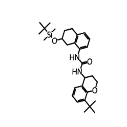 CC(C)(C)c1cccc2c1OCCC2NC(=O)Nc1cccc2c1CC(O[Si](C)(C)C(C)(C)C)CC2